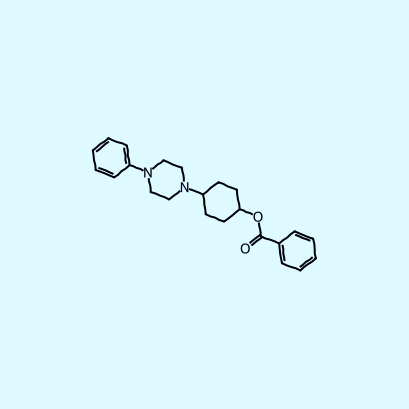 O=C(OC1CCC(N2CCN(c3ccccc3)CC2)CC1)c1ccccc1